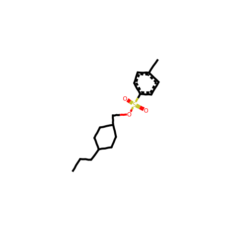 CCCC1CCC(COS(=O)(=O)c2ccc(C)cc2)CC1